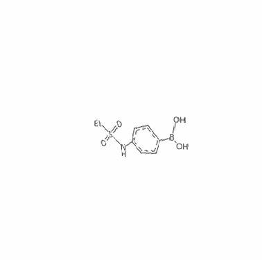 CCS(=O)(=O)Nc1ccc(B(O)O)cc1